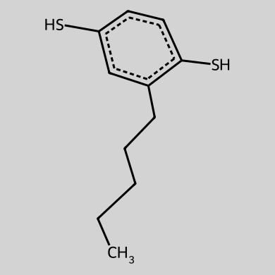 CCCCCc1cc(S)ccc1S